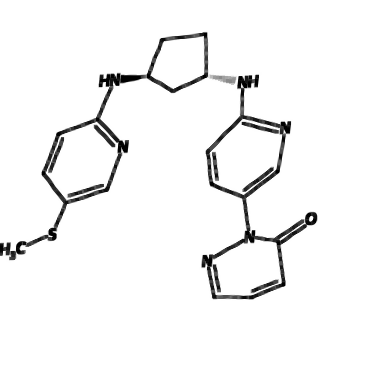 CSc1ccc(N[C@H]2CC[C@H](Nc3ccc(-n4ncccc4=O)cn3)C2)nc1